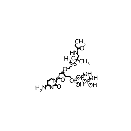 CCC(=O)NCC(C)(C)SSCO[C@@H]1C[C@H](n2ccc(N)nc2=O)OC1COP(O)OP(O)OP(O)O